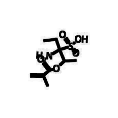 C=C(C)C(=O)OC(C)C(N)(CC)S(=O)(=O)O